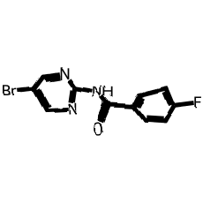 O=C(Nc1ncc(Br)cn1)c1ccc(F)cc1